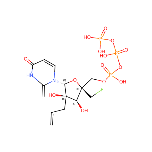 C=CC[C@@]1(O)[C@H](O)[C@@](CF)(COP(=O)(O)OP(=O)(O)OP(=O)(O)O)O[C@H]1N1C=CC(=O)NC1=C